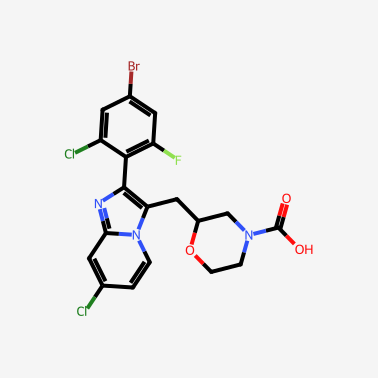 O=C(O)N1CCOC(Cc2c(-c3c(F)cc(Br)cc3Cl)nc3cc(Cl)ccn23)C1